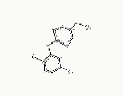 Bc1ccc(Cl)c(Cc2ccc(CC)cc2)c1